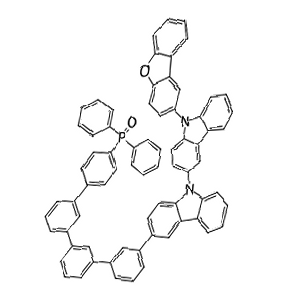 O=P(c1ccccc1)(c1ccccc1)c1ccc(-c2cccc(-c3cccc(-c4cccc(-c5ccc6c(c5)c5ccccc5n6-c5ccc6c(c5)c5ccccc5n6-c5ccc6oc7ccccc7c6c5)c4)c3)c2)cc1